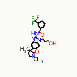 CN1CC[C@@](C)(c2ccc3c(c2)nc(NC(=O)c2cccc(C(F)(F)F)c2)n3CCCO)C1=O